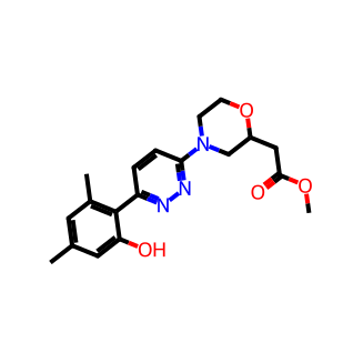 COC(=O)CC1CN(c2ccc(-c3c(C)cc(C)cc3O)nn2)CCO1